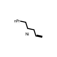 C=CCCCCCC.[Ni]